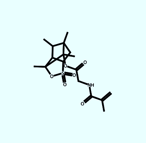 C=C(C)C(=O)NCC(=O)OC1(C)C2(C)CC3C(C2C)C1(C)OS3(=O)=O